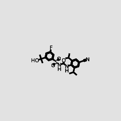 CC(C)c1cc(C#N)cc(C(C)C)c1NC(=O)NS(=O)(=O)c1cc(F)cc(C(C)(C)O)c1